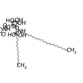 CCCCCCCCCCCCCCCCCCCCCCCCCCN[C@@H](CO[C@H]1O[C@H](COC(=O)Nc2ccccc2Cl)[C@H](O)[C@H](O)[C@H]1O)[C@H](O)[C@H](O)CCCCCCCCCCCCCC